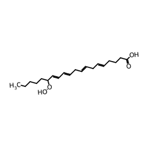 CCCCCC(/C=C/C=C/C/C=C/C/C=C/CCCC(=O)O)OO